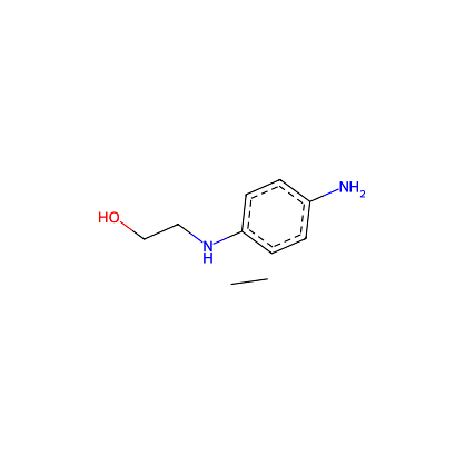 CC.Nc1ccc(NCCO)cc1